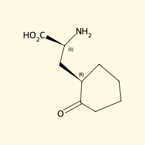 N[C@@H](C[C@H]1CCCCC1=O)C(=O)O